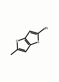 Cc1cc2sc(C(C)C)cc2o1